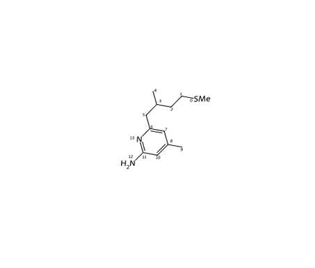 CSCCC(C)Cc1cc(C)cc(N)n1